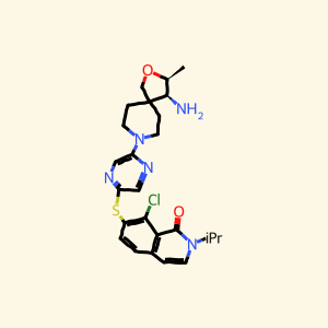 CC(C)n1ccc2ccc(Sc3cnc(N4CCC5(CC4)CO[C@@H](C)[C@H]5N)cn3)c(Cl)c2c1=O